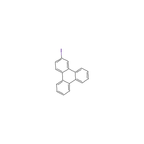 Ic1ccc2c3ccccc3c3ccccc3c2c1